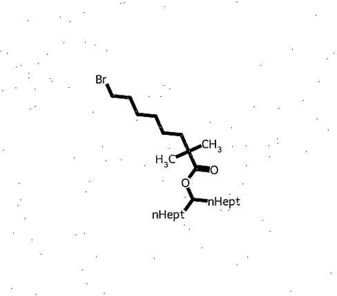 CCCCCCCC(CCCCCCC)OC(=O)C(C)(C)CCCCCCBr